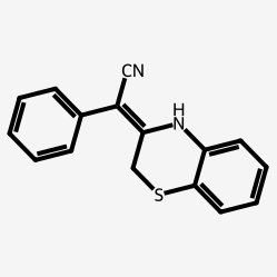 N#CC(=C1CSc2ccccc2N1)c1ccccc1